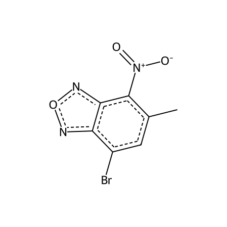 Cc1cc(Br)c2nonc2c1[N+](=O)[O-]